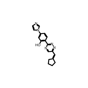 Oc1cc(-n2ccnc2)ccc1-c1ncc(C=C2CCCC2)nn1